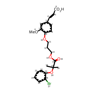 COc1cc(/C=C/C(=O)O)ccc1OCCCOC(=O)C(C)(C)Oc1ccccc1Br